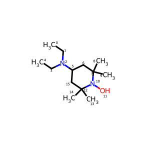 CCN(CC)C1CC(C)(C)N(O)C(C)(C)C1